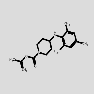 C=C(C)OC(=O)N1CCC(Nc2c(C)cc(C)cc2C)CC1